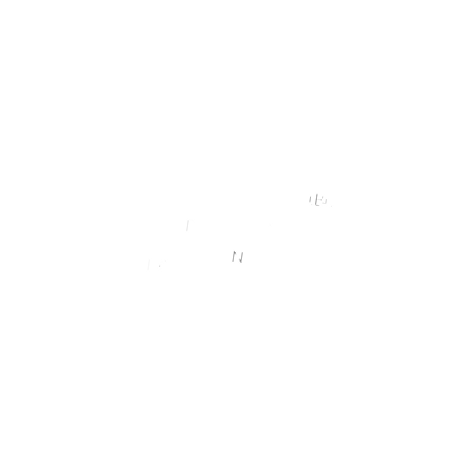 CC(F)CN1CCC(CC(C)(C)C)C1